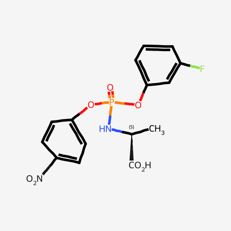 C[C@H](NP(=O)(Oc1ccc([N+](=O)[O-])cc1)Oc1cccc(F)c1)C(=O)O